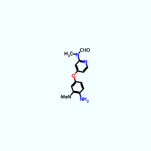 CNc1cc(Oc2ccnc(N(C)C=O)c2)ccc1N